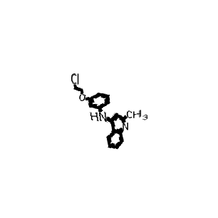 Cc1cc(Nc2cccc(OCCCl)c2)c2ccccc2n1